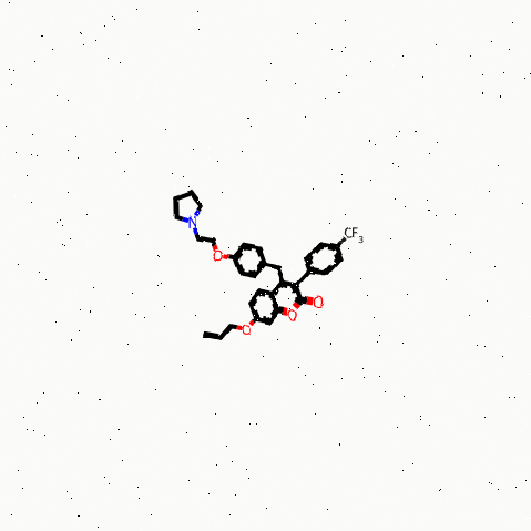 C=CCOc1ccc2c(Cc3ccc(OCCN4CCCC4)cc3)c(-c3ccc(C(F)(F)F)cc3)c(=O)oc2c1